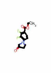 CCOC(=O)c1ccc(N2CCC(=O)C2)c(F)c1F